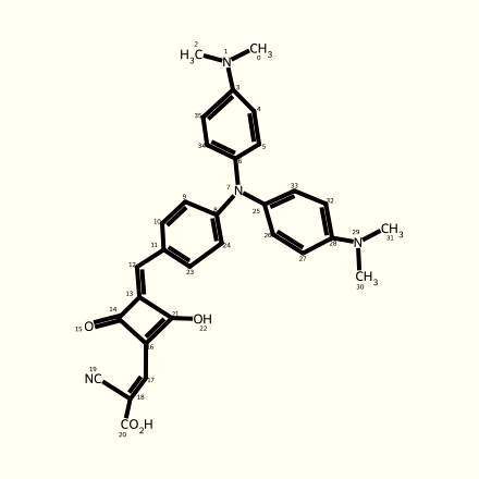 CN(C)c1ccc(N(c2ccc(/C=C3/C(=O)C(/C=C(\C#N)C(=O)O)=C3O)cc2)c2ccc(N(C)C)cc2)cc1